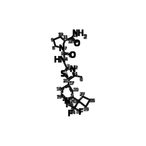 Cc1nc(NC(=O)N2CCC[C@H]2C(N)=O)sc1-c1ccnc(C2(C(F)(F)F)CCC2)c1